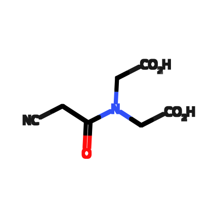 N#CCC(=O)N(CC(=O)O)CC(=O)O